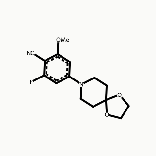 COc1cc(N2CCC3(CC2)OCCO3)cc(F)c1C#N